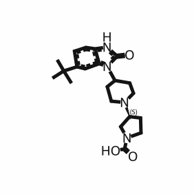 CC(C)(C)c1ccc2[nH]c(=O)n(C3CCN([C@H]4CCN(C(=O)O)C4)CC3)c2c1